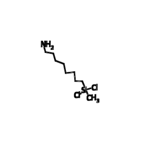 C[Si](Cl)(Cl)CCCCCCCCN